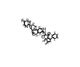 Cc1cc(-c2ccccc2)c(C(=O)C(=O)Nc2ccc3c(c2)COCC2CN(c4ncc(F)cn4)CCN32)n1C